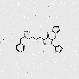 O=C(O)N(CCCC[C@H](O)C(=O)N(Cc1cccs1)Cc1cccs1)Cc1ccccc1